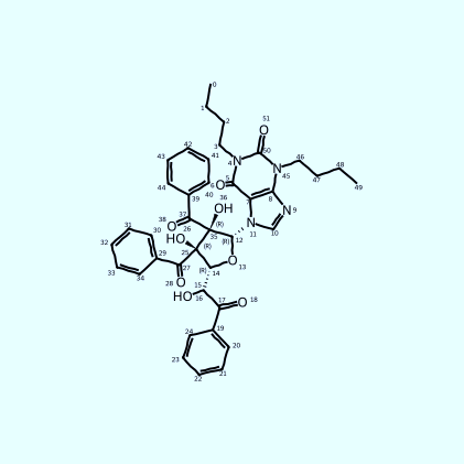 CCCCn1c(=O)c2c(ncn2[C@@H]2O[C@H](C(O)C(=O)c3ccccc3)[C@](O)(C(=O)c3ccccc3)[C@]2(O)C(=O)c2ccccc2)n(CCCC)c1=O